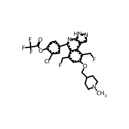 CN1CCC(COc2cc(CF)c3c(-c4ccc(OC(=O)C(F)(F)F)c(Cl)c4)nc4[nH]ncc4c3c2CF)CC1